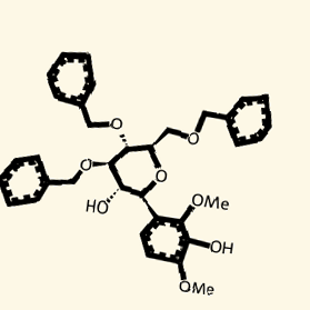 COc1ccc([C@@H]2O[C@H](COCc3ccccc3)[C@@H](OCc3ccccc3)[C@H](OCc3ccccc3)[C@H]2O)c(OC)c1O